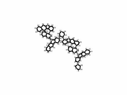 c1ccc(-c2ccc3c(c2)c2cc4ccccc4cc2n3-c2nc(-c3cccc4cc5sc6c(-c7ccccc7-c7ccc8c9cc%10ccccc%10cc9n(-c9nc(-c%10cccc%11sc%12cc%13ccccc%13cc%12c%10%11)c%10ccccc%10n9)c8c7)cccc6c5cc34)c3ccccc3n2)cc1